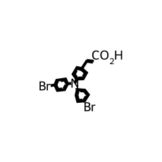 O=C(O)C=Cc1ccc(N(c2ccc(Br)cc2)c2ccc(Br)cc2)cc1